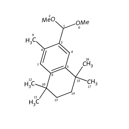 COC(OC)c1cc2c(cc1C)C(C)(C)CCC2(C)C